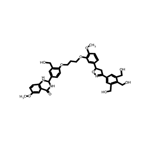 COc1ccc2c(c1)C(=O)NC(c1ccc(OCCCOc3cc(C4CC(c5cc(CO)c(CO)c(CO)c5)=NO4)ccc3OC)c(CO)c1)N2